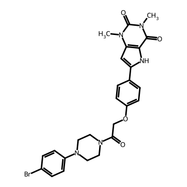 Cn1c(=O)c2[nH]c(-c3ccc(OCC(=O)N4CCN(c5ccc(Br)cc5)CC4)cc3)cc2n(C)c1=O